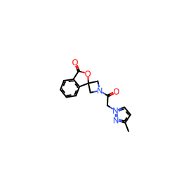 Cc1ccn(CC(=O)N2CC3(C2)OC(=O)c2ccccc23)n1